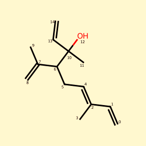 C=C/C(C)=C/CC(C(=C)C)C(C)(O)C=C